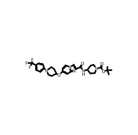 CC(C)(C)OC(=O)N1CCC(NC(=O)c2cn3ccc(OC4CCN(c5ccc(C(F)(F)F)cc5)CC4)cc3n2)CC1